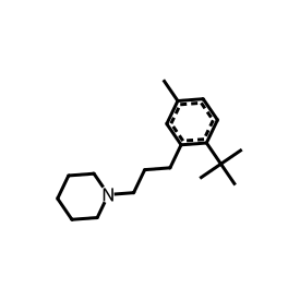 Cc1ccc(C(C)(C)C)c(CCCN2CCCCC2)c1